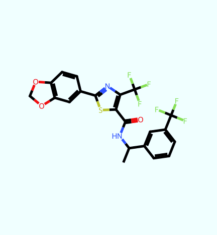 CC(NC(=O)c1sc(-c2ccc3c(c2)OCO3)nc1C(F)(F)F)c1cccc(C(F)(F)F)c1